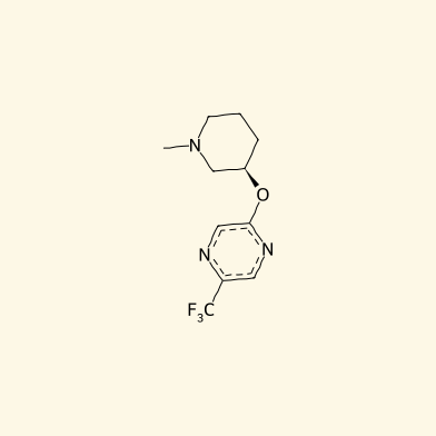 CN1CCC[C@@H](Oc2cnc(C(F)(F)F)cn2)C1